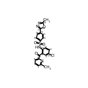 Cc1cccc(C(=O)c2cc(Cl)ccc2NS(=O)(=O)c2ccc(-c3nnc(C)o3)cc2)n1